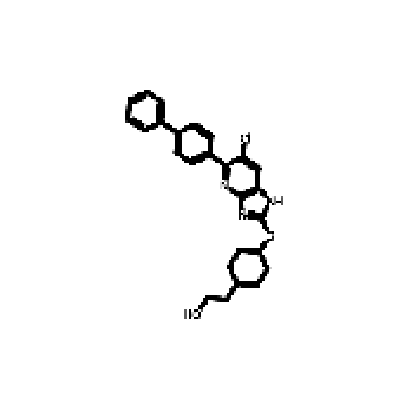 OCCC1CCC(Oc2nc3nc(-c4ccc(-c5ccccc5)cc4)c(Cl)cc3[nH]2)CC1